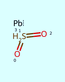 O=[SH2]=O.[Pb]